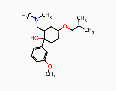 COc1cccc(C2(O)CCC(OCC(C)C)CC2CN(C)C)c1